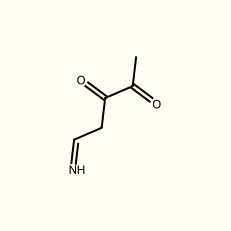 CC(=O)C(=O)CC=N